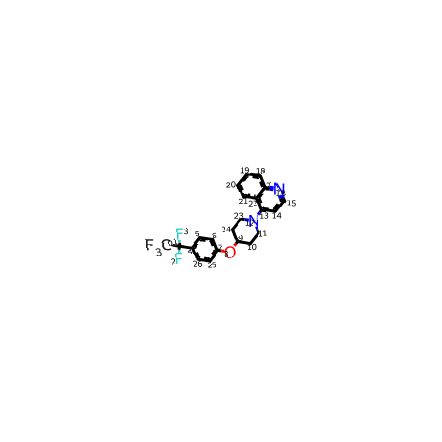 FC(F)(F)C(F)(F)c1ccc(OC2CCN(c3ccnc4cc[c]cc34)CC2)cc1